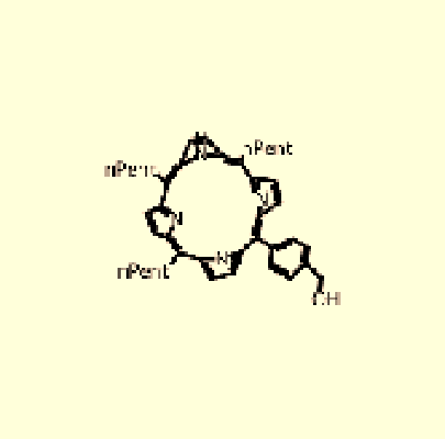 CCCCCc1c2nc(c(CCCCC)c3ccc([nH]3)c(-c3ccc(CO)cc3)c3nc(c(CCCCC)c4ccc1[nH]4)C=C3)C=C2